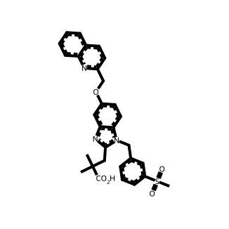 CC(C)(Cc1nc2cc(OCc3ccc4ccccc4n3)ccc2n1Cc1cccc(S(C)(=O)=O)c1)C(=O)O